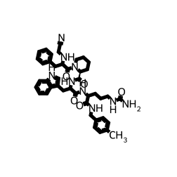 Cc1ccc(CNC(=O)C(CCCNC(N)=O)NC(=O)C(Cc2c[nH]c3ccccc23)NC(=O)[C@@H]2CCCCN2C(=O)C(Cc2ccccc2)NCC#N)cc1